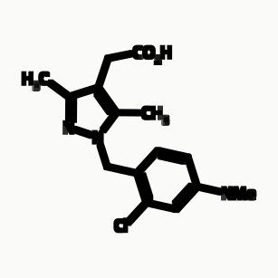 CNc1ccc(Cn2nc(C)c(CC(=O)O)c2C)c(Cl)c1